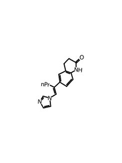 CCCC(=Cn1ccnc1)c1ccc2c(c1)CCC(=O)N2